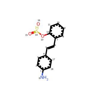 Nc1ccc(C=Cc2ccccc2O[SH](=O)=O)cc1